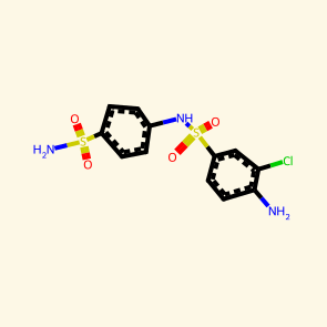 Nc1ccc(S(=O)(=O)Nc2ccc(S(N)(=O)=O)cc2)cc1Cl